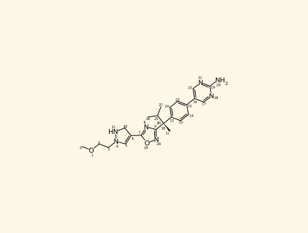 COCCN1C=C(c2nc([C@@](C)(c3ccc(-c4cnc(N)nc4)cc3)C(C)C)no2)CN1